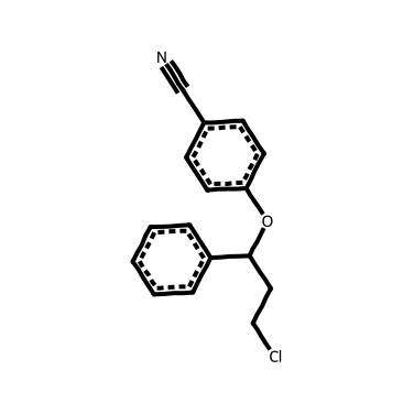 N#Cc1ccc(OC(CCCl)c2ccccc2)cc1